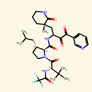 CC(C)C[C@H]1CCN(C(=O)[C@@H](NC(=O)C(F)(F)F)C(C)(C)C)[C@@H]1C(=O)NC(C[C@]1(C)CCCNC1=O)C(=O)C(=O)c1cccnc1